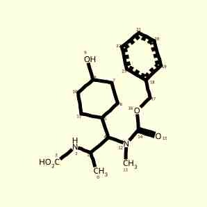 CC(NC(=O)O)C(C1CCC(O)CC1)N(C)C(=O)OCc1ccccc1